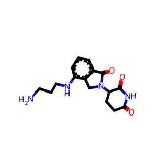 NCCCNc1cccc2c1CN(C1CCC(=O)NC1=O)C2=O